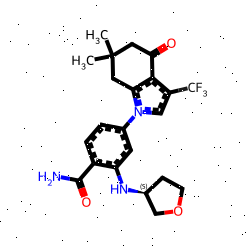 CC1(C)CC(=O)c2c(C(F)(F)F)cn(-c3ccc(C(N)=O)c(N[C@H]4CCOC4)c3)c2C1